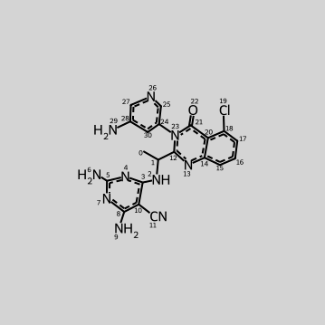 CC(Nc1nc(N)nc(N)c1C#N)c1nc2cccc(Cl)c2c(=O)n1-c1cncc(N)c1